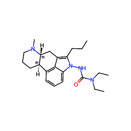 CCCc1c2c3c(cccc3n1NC(=O)N(CC)CC)[C@H]1CCCN(C)[C@@H]1C2